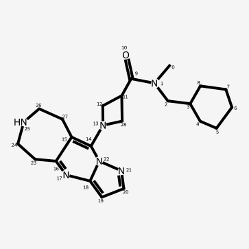 CN(CC1CCCCC1)C(=O)C1CN(c2c3c(nc4ccnn24)CCNCC3)C1